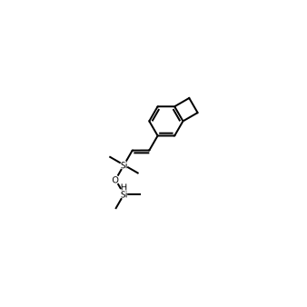 C[SiH](C)O[Si](C)(C)/C=C/c1ccc2c(c1)CC2